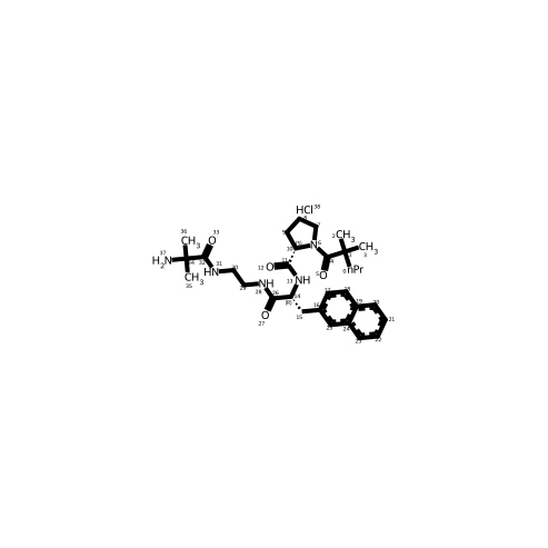 CCCC(C)(C)C(=O)N1CCC[C@H]1C(=O)N[C@H](Cc1ccc2ccccc2c1)C(=O)NCCNC(=O)C(C)(C)N.Cl